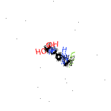 C[C@@](O)(CO)Cn1cc(-c2cccc(Nc3nccc(C(F)F)n3)c2)cn1